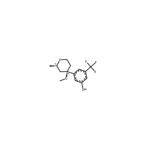 CO[C@]1(c2cc(O)cc(C(F)(F)F)c2)CCO[C@H](C)C1